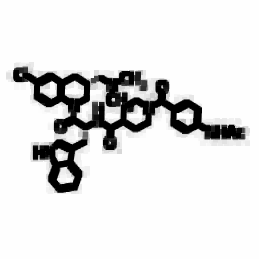 CC(=O)Nc1ccc(C(=O)N2CCC(C(=O)N[C@H](Cc3c[nH]c4ccccc34)C(=O)N3C[C@@H](CN(C)C)Cc4cc(Cl)ccc43)CC2)cc1